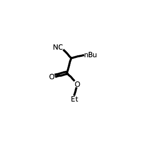 CCCCC(C#N)C(=O)OCC